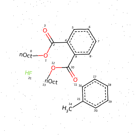 CCCCCCCCOC(=O)c1ccccc1C(=O)OCCCCCCCC.Cc1ccccc1.F